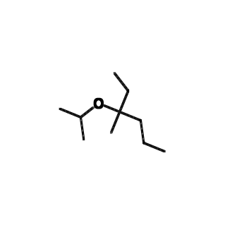 CCCC(C)(CC)OC(C)C